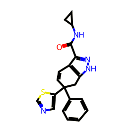 O=C(NC1CC1)c1n[nH]c2c1C=CC(c1ccccc1)(c1cncs1)C2